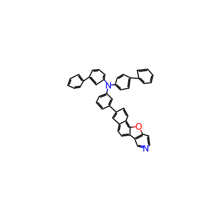 c1ccc(-c2ccc(N(c3cccc(-c4ccccc4)c3)c3cccc(-c4ccc5c(ccc6c7cnccc7oc56)c4)c3)cc2)cc1